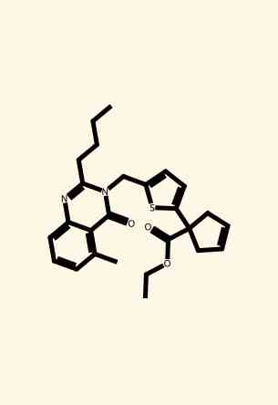 CCCCc1nc2cccc(C)c2c(=O)n1Cc1ccc(C2(C(=O)OCC)CC=CC2)s1